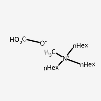 CCCCCC[N+](C)(CCCCCC)CCCCCC.O=C([O-])O